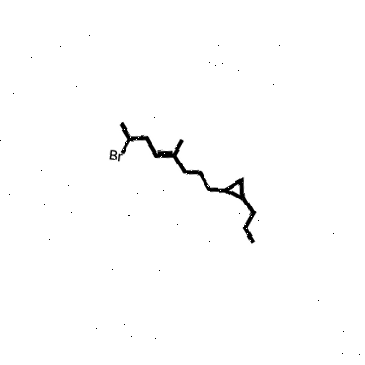 CCCC1CC1CCC/C(C)=C/CC(C)Br